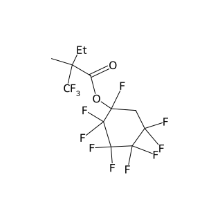 CCC(C)(C(=O)OC1(F)CC(F)(F)C(F)(F)C(F)(F)C1(F)F)C(F)(F)F